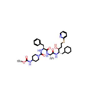 CCC[C@H](NC(=O)[C@H](Cc1ccccc1)NC(=O)N1CCC(NC(=O)OC(C)(C)C)CC1)C(=O)N[C@@H](CC1CCCCC1)[C@@H](O)CCSc1ccccn1